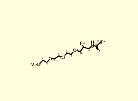 CNCCOCCOCCOCC(F)CNC(=O)C(C)C